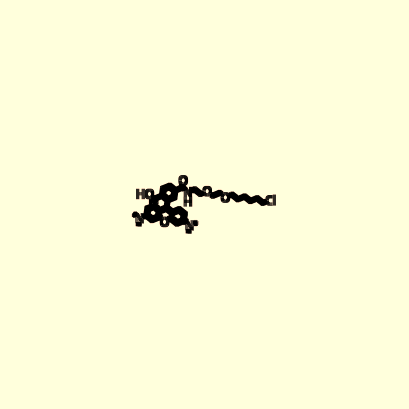 CN(C)c1ccc2c(-c3cc(C(=O)NCCOCCOCCCCCCCl)ccc3C(=O)O)c3ccc(=[N+](C)C)cc-3oc2c1